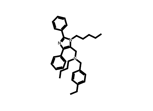 CCCCCn1c(-c2ccccc2)nc(-c2ccccc2)c1CN(CCCC)Cc1ccc(CC)cc1